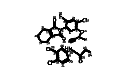 C#CC(C)Oc1cc(N2C(=O)C3=C(CCCC3)C2=O)c(F)cc1Cl.CCC(=O)Nc1ccc(Cl)c(Cl)c1